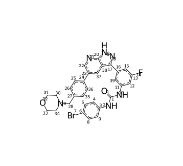 O=C(Nc1ccc(Br)cc1)Nc1cc(F)cc(-c2n[nH]c3ncc(-c4ccc(CN5CCOCC5)cc4)cc23)c1